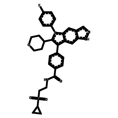 O=C(NCCS(=O)(=O)C1CC1)c1ccc(-c2c(C3CCOCC3)n(-c3ccc(F)cc3)c3cc4cn[nH]c4cc23)cc1